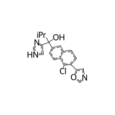 CC(C)C(O)(c1ccc2c(Cl)c(-c3cnco3)ccc2c1)c1c[nH]cn1